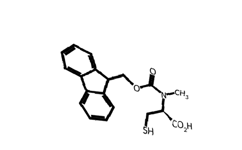 CN(C(=O)OCC1c2ccccc2-c2ccccc21)[C@H](CS)C(=O)O